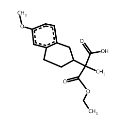 CCOC(=O)C(C)(C(=O)O)C1CCc2cc(OC)ccc2C1